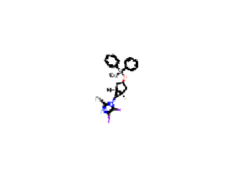 CC(C)c1nc(I)c(I)n1C1[C@H]2CC(O[Si](c3ccccc3)(c3ccccc3)C(C)(C)C)C[C@@H]12